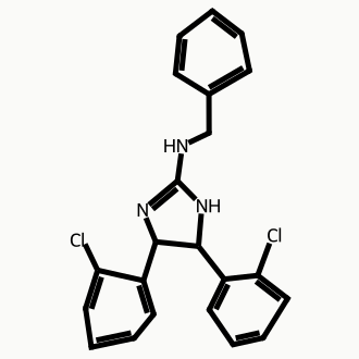 Clc1ccccc1C1N=C(NCc2ccccc2)NC1c1ccccc1Cl